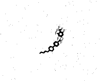 CCCCCC1CCC(c2ccc(C(F)(F)Oc3cc(F)c(C(F)(F)F)c(F)c3)cc2)CC1